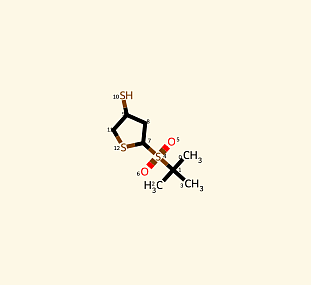 CC(C)(C)S(=O)(=O)C1CC(S)CS1